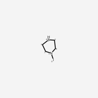 IN1CCBCC1